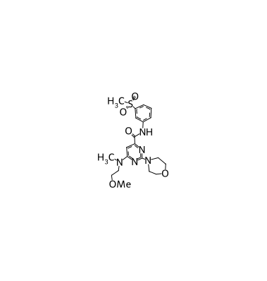 COCCN(C)c1cc(C(=O)Nc2cccc(S(C)(=O)=O)c2)nc(N2CCOCC2)n1